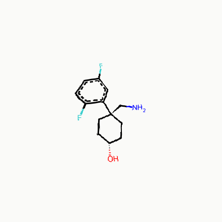 NC[C@]1(c2cc(F)ccc2F)CC[C@@H](O)CC1